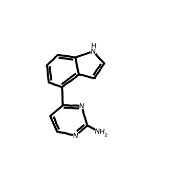 Nc1nccc(-c2cccc3[nH]ccc23)n1